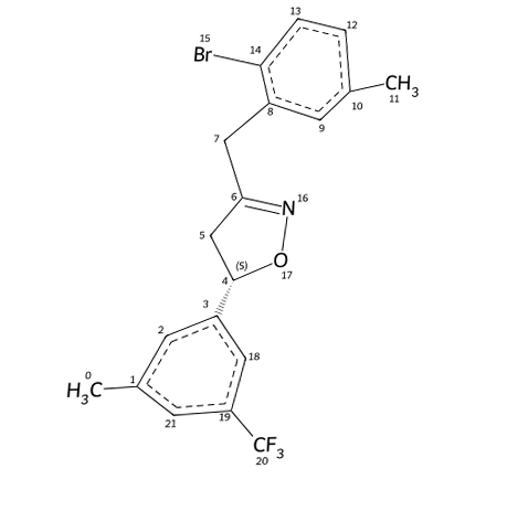 Cc1cc([C@@H]2CC(Cc3cc(C)ccc3Br)=NO2)cc(C(F)(F)F)c1